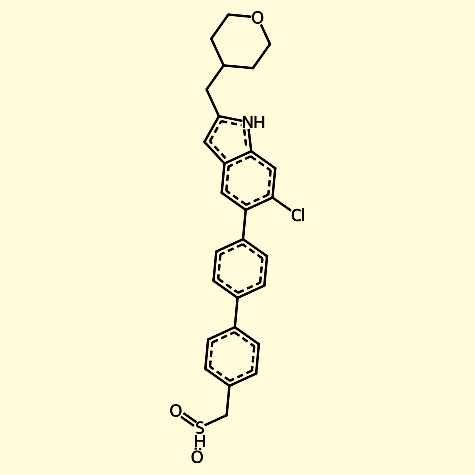 O=[SH](=O)Cc1ccc(-c2ccc(-c3cc4cc(CC5CCOCC5)[nH]c4cc3Cl)cc2)cc1